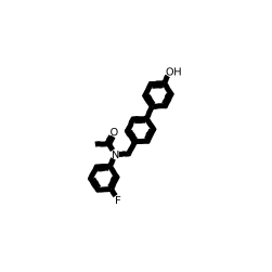 CC(=O)N(Cc1ccc(-c2ccc(O)cc2)cc1)c1cccc(F)c1